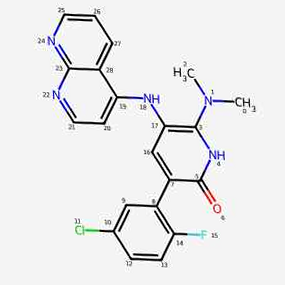 CN(C)c1[nH]c(=O)c(-c2cc(Cl)ccc2F)cc1Nc1ccnc2ncccc12